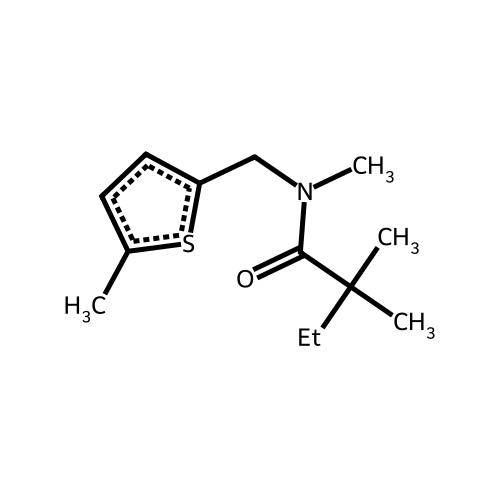 CCC(C)(C)C(=O)N(C)Cc1ccc(C)s1